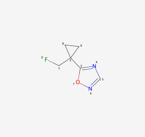 FCC1(c2n[c]no2)CC1